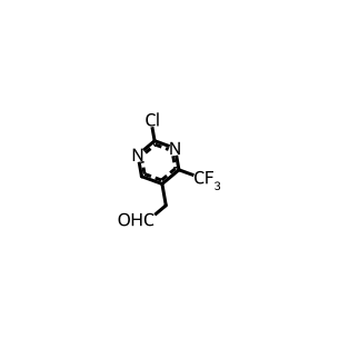 O=CCc1cnc(Cl)nc1C(F)(F)F